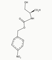 O=C(N[C@@H](CO)C(=O)O)OCc1ccc([N+](=O)[O-])cc1